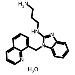 NCCCNc1nc2ccccc2n1Cc1cccc2cccnc12.O